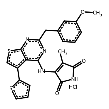 COc1cccc(Cc2nc(NC3=C(C)C(=O)NC3=O)c3c(-c4cccs4)csc3n2)c1.Cl